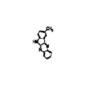 Cc1ccc2[nH]c3nc4ccccc4nc3c2c1